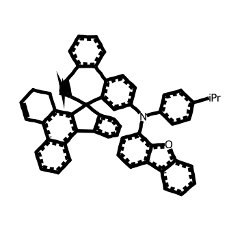 CC(C)c1ccc(N(c2ccc3c(c2)C2(C4=C(/C=C\CC#CC4)c4ccccc4-3)c3ccccc3-c3c2c2c(c4ccccc34)C=CCC2)c2cccc3c2oc2ccccc23)cc1